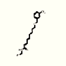 CC(C)CNC(=S)C=CC=CCCCCOCc1cccc(C(F)(F)F)c1